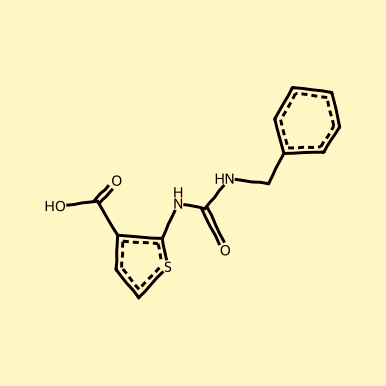 O=C(NCc1ccccc1)Nc1sccc1C(=O)O